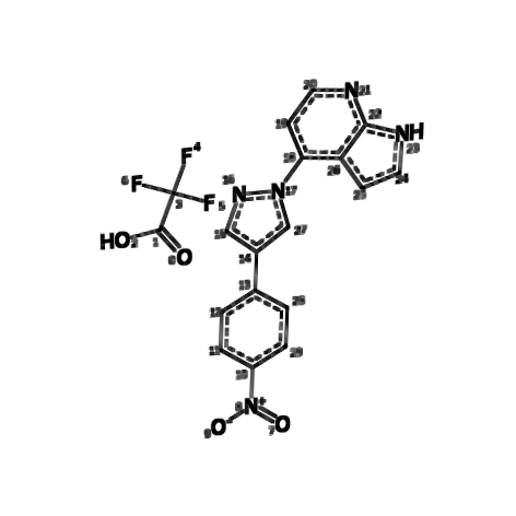 O=C(O)C(F)(F)F.O=[N+]([O-])c1ccc(-c2cnn(-c3ccnc4[nH]ccc34)c2)cc1